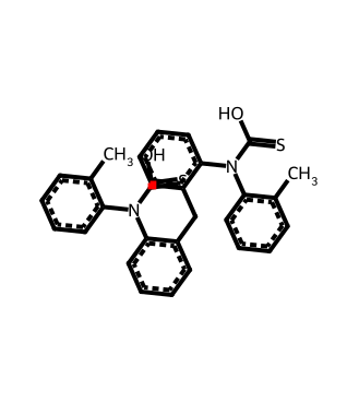 Cc1ccccc1N(C(O)=S)c1ccccc1Cc1ccccc1N(C(O)=S)c1ccccc1C